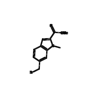 COC(=O)c1cc2ccc(CBr)cc2n1C